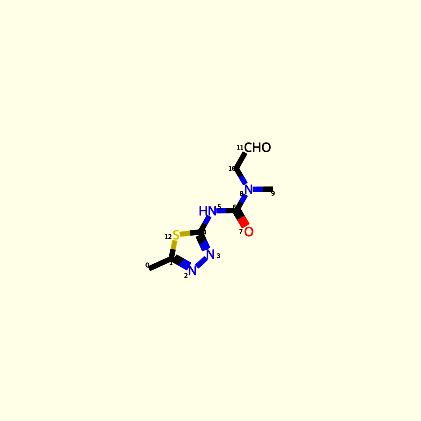 Cc1nnc(NC(=O)N(C)CC=O)s1